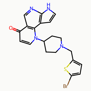 O=c1ccn(C2CCN(Cc3ccc(Br)s3)CC2)c2c1cnc1[nH]ccc12